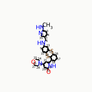 CNc1ccc(CNc2ccc3c(c2)Sc2cccc(-c4cc(N5CCOCC5)cc(=O)[nH]4)c2S3)cn1